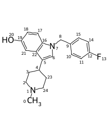 CN1CCC(c2cn(Cc3ccc(F)cc3)c3ccc(O)cc23)CC1